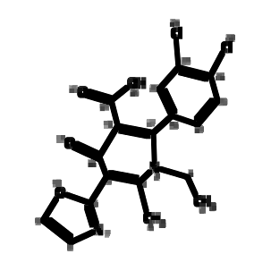 CCn1c(C)c(-c2ncco2)c(=O)c(C(=O)O)c1-c1ccc(Cl)c(Cl)c1